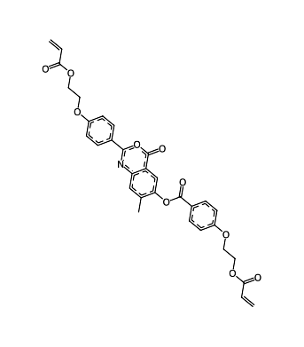 C=CC(=O)OCCOc1ccc(C(=O)Oc2cc3c(=O)oc(-c4ccc(OCCOC(=O)C=C)cc4)nc3cc2C)cc1